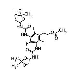 CC(=O)OCCc1c(I)c(NC(=O)NC2COC(C)(C)O2)c(I)c(NC(=O)NC2COC(C)(C)O2)c1I